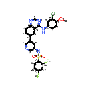 COc1ccc(Nc2ncnc3ccc(-c4cncc(NS(=O)(=O)c5ccc(F)cc5F)c4)cc23)cc1Cl